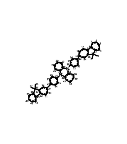 CC1(C)c2ccccc2-c2ccc(-c3ccc(N4c5ccccc5N(c5ccc(-c6ccc7c(c6)C(C)(C)c6ccccc6-7)cc5)c5ccccc54)cc3)cc21